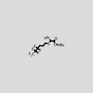 CCCCOC(=O)C(CCC)SCCCC(F)(F)C(F)(F)C(F)(F)F